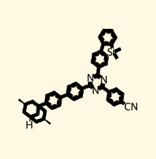 C[C@@H]1C[C@@H]2C[C@H](C)CC(c3ccc(-c4ccc(-c5nc(-c6ccc(C#N)cc6)nc(-c6ccc7c(c6)[Si](C)(C)c6ccccc6-7)n5)cc4)cc3)(C1)C2